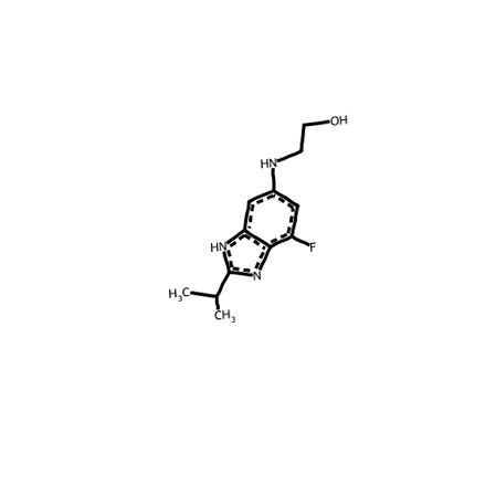 CC(C)c1nc2c(F)cc(NCCO)cc2[nH]1